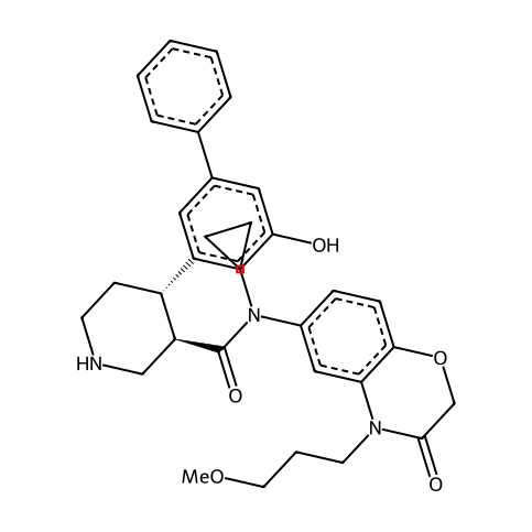 COCCCN1C(=O)COc2ccc(N(C(=O)[C@H]3CNCC[C@@H]3c3cc(O)cc(-c4ccccc4)c3)C3CC3)cc21